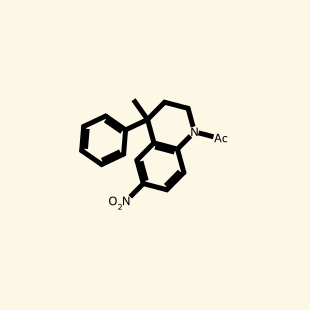 CC(=O)N1CCC(C)(c2ccccc2)c2cc([N+](=O)[O-])ccc21